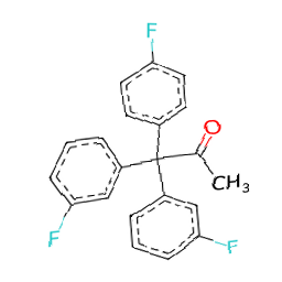 CC(=O)C(c1ccc(F)cc1)(c1cccc(F)c1)c1cccc(F)c1